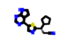 N#CC[C@H](c1ncc(-c2ncnc3[nH]ccc23)s1)C1CCCC1